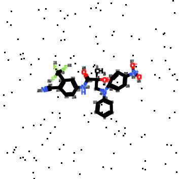 C[C@](O)(CN(c1ccccc1)c1ccc([N+](=O)[O-])cc1)C(=O)Nc1ccc(C#N)c(C(F)(F)F)c1